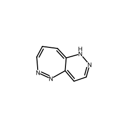 C1=CN=NC2=CC=NNC2=C1